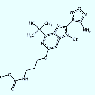 CCn1c(-c2nonc2N)nc2c(C(C)(C)O)nc(OCCCNC(=O)OC(C)(C)C)cc21